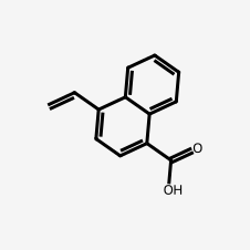 C=Cc1ccc(C(=O)O)c2ccccc12